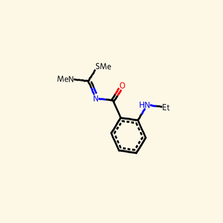 CCNc1ccccc1C(=O)N=C(NC)SC